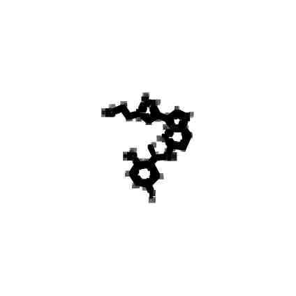 C[C@@H](Nc1ccc2ncc(-c3cn(CCO)nn3)n2n1)c1cc(F)ccc1O